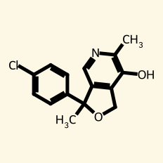 Cc1ncc2c(c1O)COC2(C)c1ccc(Cl)cc1